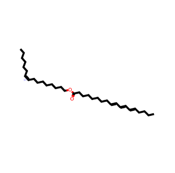 CCCCC=CC=CC=CCCCCCCCC(=O)OCCCCCCCC/C=C\CCCCCC